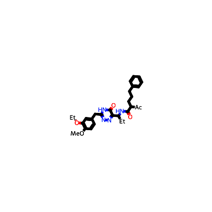 CCOc1cc(Cc2nnc(C(CC)NC(=O)C(CCCc3ccccc3)C(C)=O)c(=O)[nH]2)ccc1OC